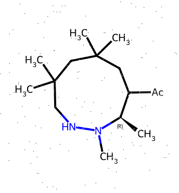 CC(=O)C1CC(C)(C)CC(C)(C)CNN(C)[C@@H]1C